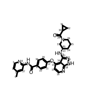 Cc1ccnc(NC(=O)c2ccc(Oc3ccnc4[nH]nc(N[C@@H]5CCCN(C(=O)C6CC6)C5)c34)cc2)c1